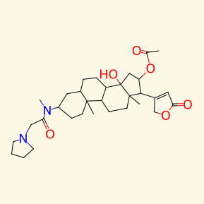 CC(=O)OC1CC2(O)C3CCC4CC(N(C)C(=O)CN5CCCC5)CCC4(C)C3CCC2(C)C1C1=CC(=O)OC1